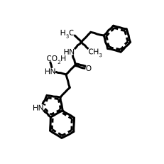 CC(C)(Cc1ccccc1)NC(=O)C(Cc1c[nH]c2ccccc12)NC(=O)O